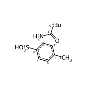 CC(C)(C)C(N)=O.Cc1ccc(S(=O)(=O)O)cc1